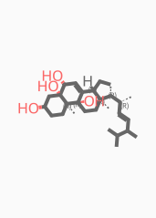 CC(C)C(C)C=C[C@@H](C)[C@H]1CC[C@H]2C3=CC(O)C4(O)CC(O)CC[C@]4(C)[C@@]3(O)CC[C@]12C